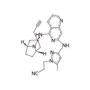 C#CCCN1[C@@H]2CC[C@H]1C[C@H](Nc1nc(Nc3cc(C)n(CCC#N)n3)cc3ncccc13)C2